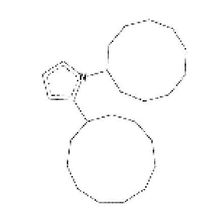 c1cc(C2CCCCCCCCCC2)n(C2CCCCCCCCC2)c1